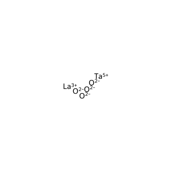 [La+3].[O-2].[O-2].[O-2].[O-2].[Ta+5]